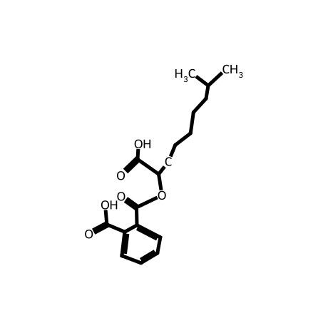 CC(C)CCCCCC(OC(=O)c1ccccc1C(=O)O)C(=O)O